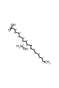 CCCCCCCCCCCCCCCCCC(=O)O.O[SiH3]